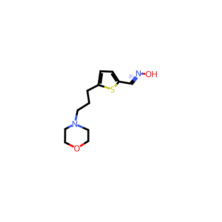 O/N=C/c1ccc(CCCN2CCOCC2)s1